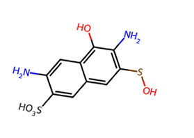 Nc1cc2c(O)c(N)c(SO)cc2cc1S(=O)(=O)O